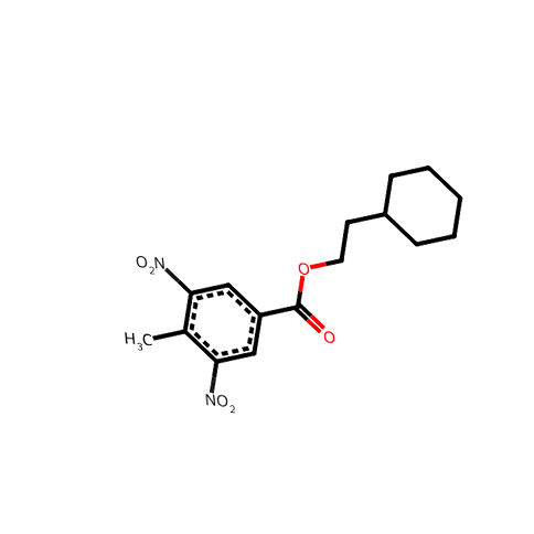 Cc1c([N+](=O)[O-])cc(C(=O)OCCC2CCCCC2)cc1[N+](=O)[O-]